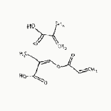 C=C(C)C(=O)O.C=CC(=O)OC=C(C)C(=O)O